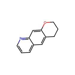 c1cnc2cc3c(cc2c1)CCCO3